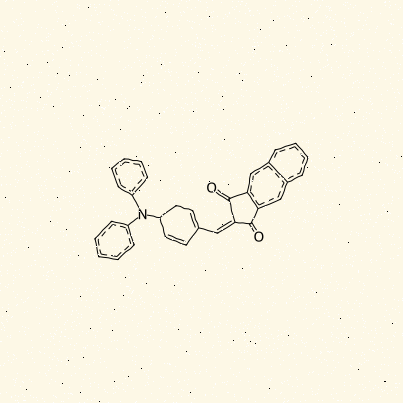 O=C1C(=CC2=CCC(N(c3ccccc3)c3ccccc3)C=C2)C(=O)c2cc3ccccc3cc21